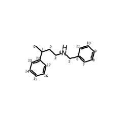 CC(CCNCc1ccccc1)c1ccccc1